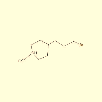 CCC[SiH]1CCC(CCCBr)CC1